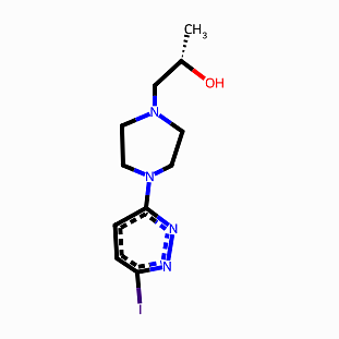 C[C@H](O)CN1CCN(c2ccc(I)nn2)CC1